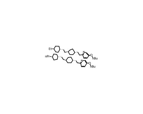 CCCCOc1ccc(CC[C@H]2CC[C@H](CC[C@H]3CC[C@H](CC)CC3)CC2)nc1.CCCCOc1ccc(CC[C@H]2CC[C@H](CC[C@H]3CC[C@H](CCC)CC3)CC2)nc1